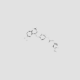 CC[S+]([O-])c1ccc2nccc(Oc3ccc(CC(=O)Nc4cnn(C(C)(C)C)c4)c(F)c3)c2c1